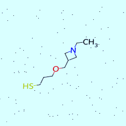 CCN1CC(COCCCS)C1